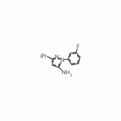 CC(C)c1cc(N)n(-c2cccc(F)c2)n1